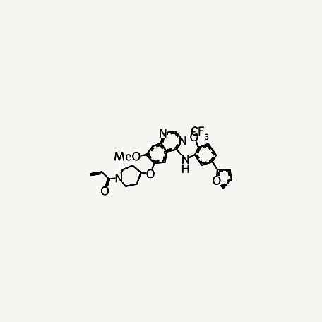 C=CC(=O)N1CCC(Oc2cc3c(Nc4cc(-c5ccco5)ccc4OC(F)(F)F)ncnc3cc2OC)CC1